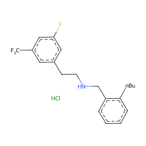 CCCCc1ccccc1CNCCc1cc(F)cc(C(F)(F)F)c1.Cl